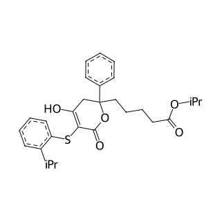 CC(C)OC(=O)CCCCC1(c2ccccc2)CC(O)=C(Sc2ccccc2C(C)C)C(=O)O1